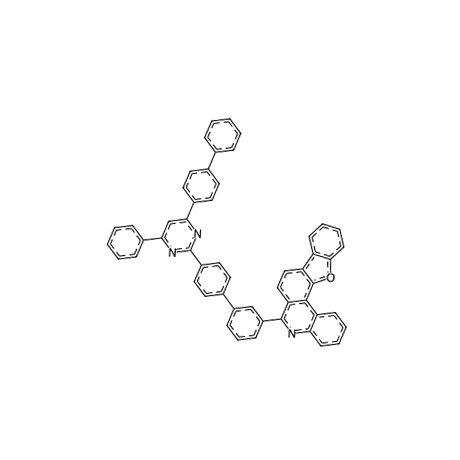 c1ccc(-c2ccc(-c3cc(-c4ccccc4)nc(-c4ccc(-c5cccc(-c6nc7ccccc7c7c6ccc6c8ccccc8oc67)c5)cc4)n3)cc2)cc1